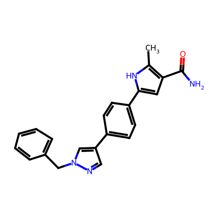 Cc1[nH]c(-c2ccc(-c3cnn(Cc4ccccc4)c3)cc2)cc1C(N)=O